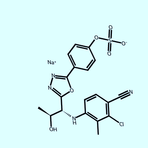 Cc1c(N[C@@H](c2nnc(-c3ccc(OS(=O)(=O)[O-])cc3)o2)[C@H](C)O)ccc(C#N)c1Cl.[Na+]